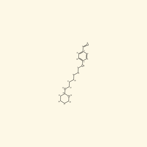 O=Cc1ccc(OCCCCCCOC2CCCCO2)cc1